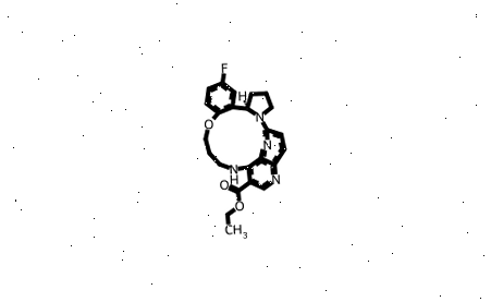 CCOC(=O)c1cnc2ccc3nc2c1NCCCOc1ccc(F)cc1[C@H]1CCCN31